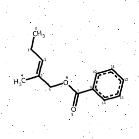 CCC=C(C)COC(=O)c1ccccc1